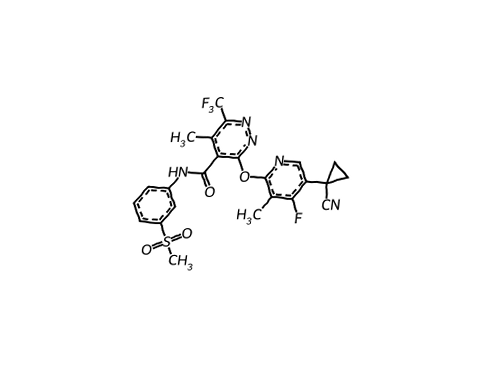 Cc1c(Oc2nnc(C(F)(F)F)c(C)c2C(=O)Nc2cccc(S(C)(=O)=O)c2)ncc(C2(C#N)CC2)c1F